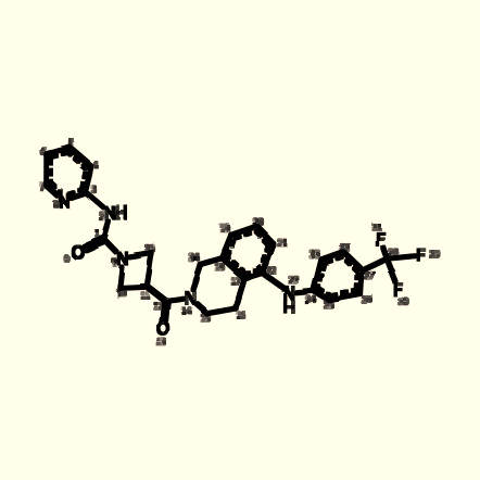 O=C(Nc1ccccn1)N1CC(C(=O)N2CCc3c(cccc3Nc3ccc(C(F)(F)F)cc3)C2)C1